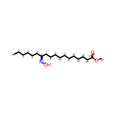 CCCCCCC(CCCCCCCCCCC(=O)OC)=NO